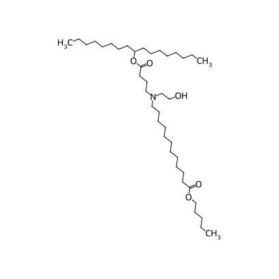 CCCCCCCCC(CCCCCCCC)OC(=O)CCCN(CCO)CCCCCCCCCCCC(=O)OCCCCC